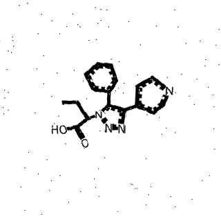 CCC(C(=O)O)n1nnc(-c2ccncc2)c1-c1ccccc1